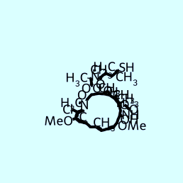 COc1cc2cc(c1Cl)N(C)C(=O)CC(OC(=O)[C@H](C)N(C)C(=O)CCC(C)(C)S)[C@]1(C)O[C@H]1C(C)(C)[C@@H]1C[C@@](O)(NC(=O)O1)[C@H](OC)/C=C/C=C(\C)C2